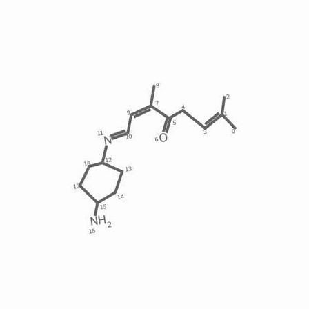 CC(C)=CCC(=O)C(C)=CC=NC1CCC(N)CC1